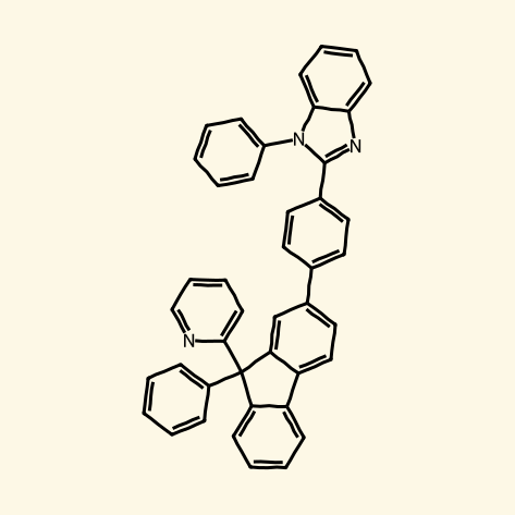 c1ccc(-n2c(-c3ccc(-c4ccc5c(c4)C(c4ccccc4)(c4ccccn4)c4ccccc4-5)cc3)nc3ccccc32)cc1